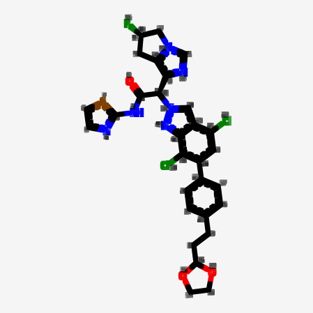 O=C(Nc1nccs1)[C@@H](c1ncn2c1C[C@@H](F)C2)n1cc2c(Cl)cc(-c3ccc(CCC4OCCO4)cc3)c(Cl)c2n1